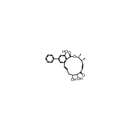 C[C@@H]1OC(=O)c2c(O)cc(-c3ccccc3)cc2/C=C/C[C@H](O)[C@H](O)C(=O)/C=C\[C@@H]1C